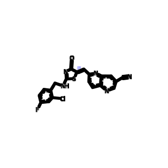 N#Cc1cnc2ccc(/C=C3\SC(NCc4ccc(F)cc4Cl)=NC3=O)nc2c1